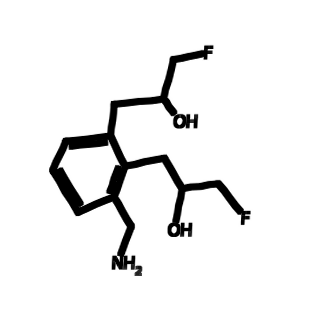 NCc1cccc(CC(O)CF)c1CC(O)CF